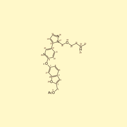 CC(=O)OCc1cc2ccc(Oc3ccc(-c4ccnn4COCC[SiH](C)C)cn3)cc2o1